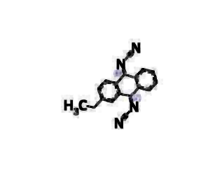 CCc1ccc2c(c1)/C(=N\C#N)c1ccccc1/C2=N\C#N